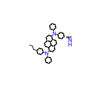 CCCc1ccc(N(c2ccccc2)c2ccc3ccc4c(N(c5ccccc5)c5ccc([C@@H]6CN6)cc5)ccc5ccc2c3c54)cc1